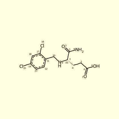 NC(=O)[C@H](CCC(=O)O)NCc1ccc(Cl)cc1Cl